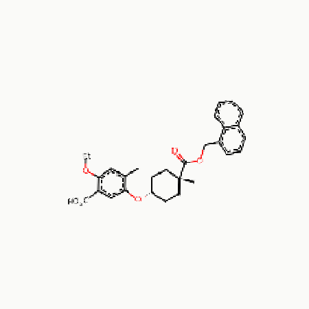 CCOc1cc(C)c(O[C@H]2CC[C@@](C)(C(=O)OCc3cccc4ccccc34)CC2)cc1C(=O)O